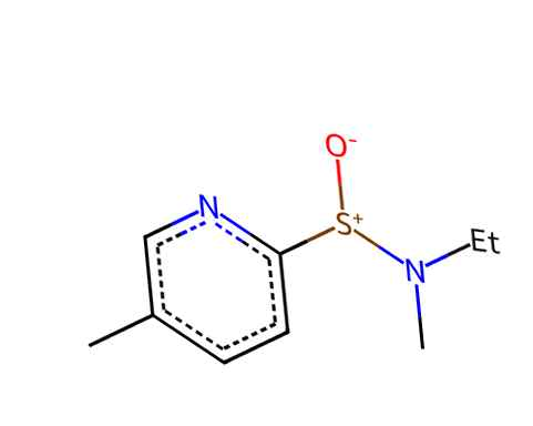 CCN(C)[S+]([O-])c1ccc(C)cn1